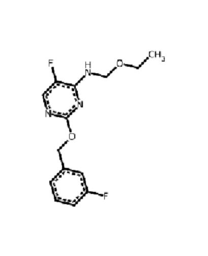 CCOCNc1nc(OCc2cccc(F)c2)ncc1F